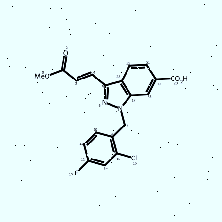 COC(=O)C=Cc1nn(Cc2ccc(F)cc2Cl)c2cc(C(=O)O)ccc12